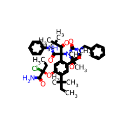 CCC(Cl)(Oc1cc(C(C(=O)Nc2ccccc2)(C(=O)C(C)(C)C)N2C(=O)CN(Cc3ccccc3)C2=O)c(C(C)(C)CC)cc1C(C)(C)CC)C(N)=O